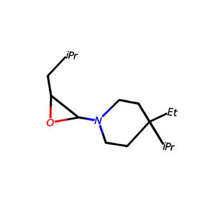 CCC1(C(C)C)CCN(C2OC2CC(C)C)CC1